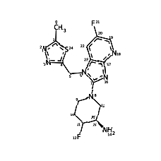 Cc1nnc(Cn2c(N3CCC(F)[C@H](N)C3)nc3ncc(F)cc32)s1